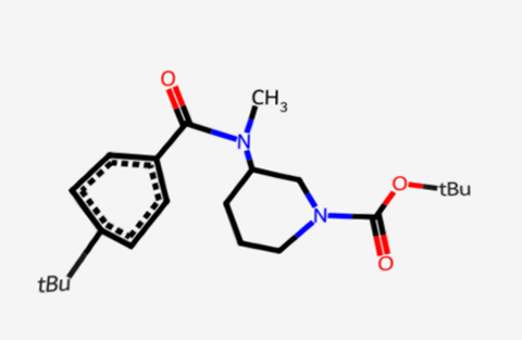 CN(C(=O)c1ccc(C(C)(C)C)cc1)C1CCCN(C(=O)OC(C)(C)C)C1